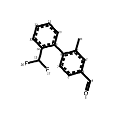 Cc1cc(C=O)ccc1-c1ccccc1C(F)F